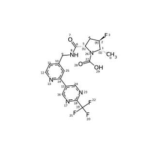 C[C@H]1[C@H](F)C[C@@H](C(=O)NCc2ccnc(-c3cnc(C(F)(F)F)nc3)c2)N1C(=O)O